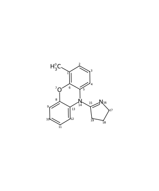 Cc1cccc2c1Oc1ccccc1N2C1=NCCC1